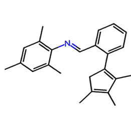 CC1=C(C)C(C)=C(c2ccccc2C=Nc2c(C)cc(C)cc2C)C1